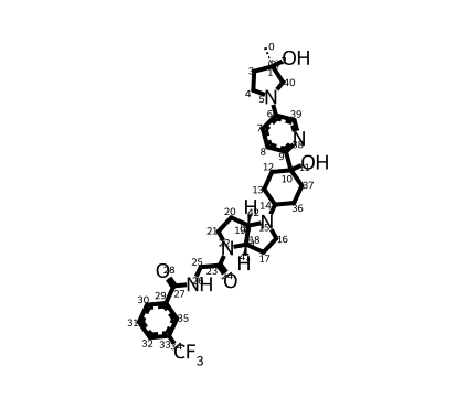 C[C@@]1(O)CCN(c2ccc(C3(O)CCC(N4CC[C@H]5[C@@H]4CCN5C(=O)CNC(=O)c4cccc(C(F)(F)F)c4)CC3)nc2)C1